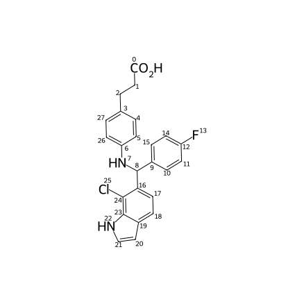 O=C(O)CCc1ccc(NC(c2ccc(F)cc2)c2ccc3cc[nH]c3c2Cl)cc1